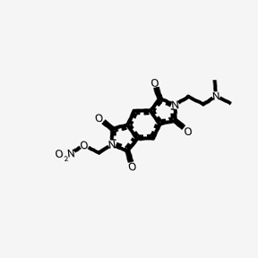 CN(C)CCn1c(=O)c2cc3c(=O)n(CO[N+](=O)[O-])c(=O)c3cc2c1=O